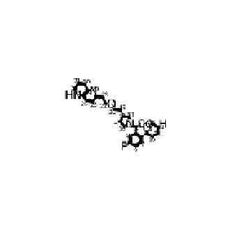 O=C(O)C(c1cc(F)ccc1[C@@H]1CCCCO1)N1CC[C@@H](CCOCCc2ccc3c(n2)CCCN3)C1